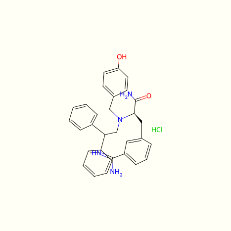 Cl.N=C(N)c1cccc(C[C@H](C(N)=O)N(Cc2ccc(O)cc2)CC(c2ccccc2)c2ccccc2)c1